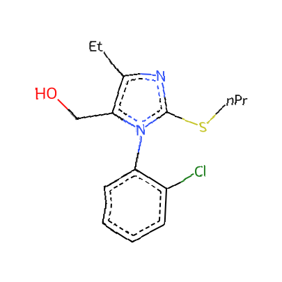 CCCSc1nc(CC)c(CO)n1-c1ccccc1Cl